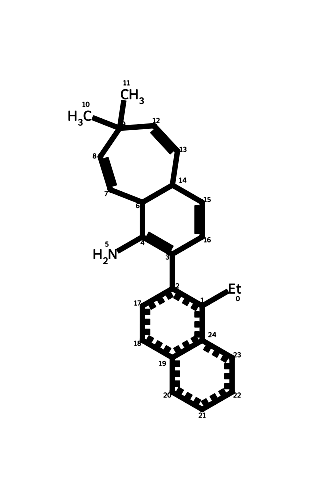 CCc1c(C2=C(N)C3C=CC(C)(C)C=CC3C=C2)ccc2ccccc12